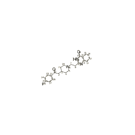 O=C(CC1CCN(CCc2nc3ccccc3c(=O)[nH]2)CC1)c1ccc(F)cc1